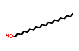 CCCCCCCCCCCCCCCCC=CC=CO